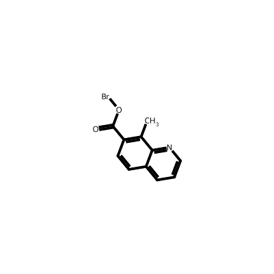 Cc1c(C(=O)OBr)ccc2cccnc12